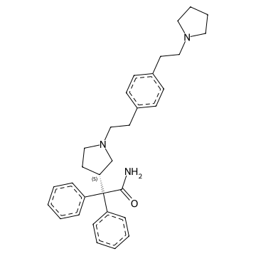 NC(=O)C(c1ccccc1)(c1ccccc1)[C@@H]1CCN(CCc2ccc(CCN3CCCC3)cc2)C1